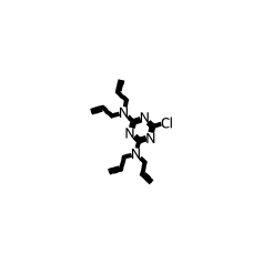 C=CCN(CC=C)c1nc(Cl)nc(N(CC=C)CC=C)n1